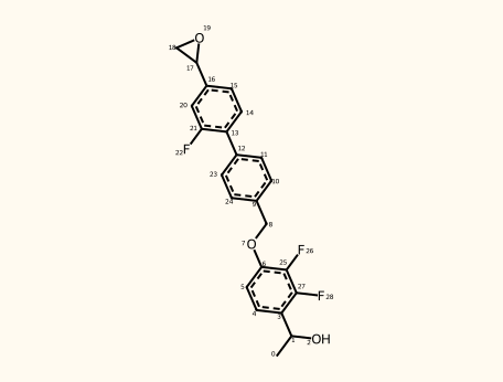 CC(O)c1ccc(OCc2ccc(-c3ccc(C4CO4)cc3F)cc2)c(F)c1F